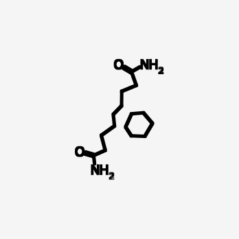 C1CCCCC1.NC(=O)CCCCCCCC(N)=O